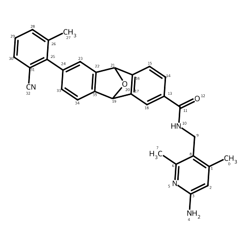 Cc1cc(N)nc(C)c1CNC(=O)c1ccc2c(c1)C1OC2c2cc(-c3c(C)cccc3C#N)ccc21